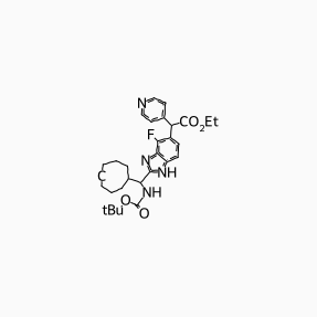 CCOC(=O)C(c1ccncc1)c1ccc2[nH]c(C(NC(=O)OC(C)(C)C)C3CCCCCCC3)nc2c1F